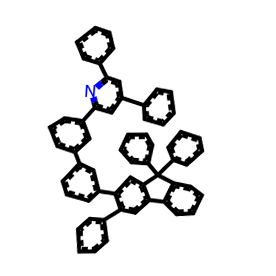 c1ccc(-c2cc(-c3ccccc3)nc(-c3cccc(-c4cccc(-c5cc6c(cc5-c5ccccc5)-c5ccccc5C6(c5ccccc5)c5ccccc5)c4)c3)c2)cc1